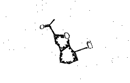 CC(=O)c1cc2cccc(Cl)c2o1